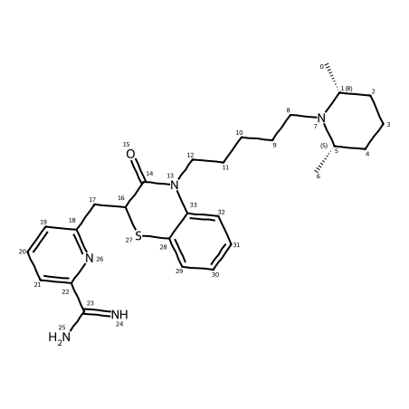 C[C@@H]1CCC[C@H](C)N1CCCCCN1C(=O)C(Cc2cccc(C(=N)N)n2)Sc2ccccc21